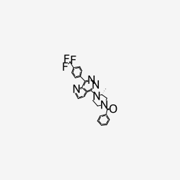 C[C@@H]1CN(C(=O)c2ccccc2)CCN1c1nnc(-c2ccc(C(F)(F)F)cc2)c2ncccc12